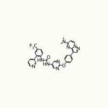 CN(C)c1ccn2ncc(-c3ccc(Oc4ncc(NC(=O)Nc5ccc(C(F)(F)F)cc5-c5cccnc5)cn4)cc3)c2n1